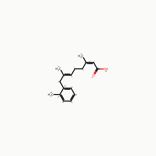 CC(=CCC/C(C)=C\C(=O)O)Cc1ccccc1C